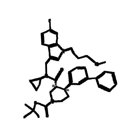 COCCCn1cc(CN(C(=O)[C@H]2CN(C(=O)OC(C)(C)C)CC[C@@H]2c2cccc(-c3ccccc3)c2)C2CC2)c2ccc(F)cc21